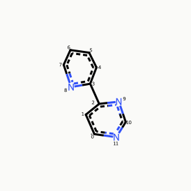 [c]1cc(-c2ccccn2)ncn1